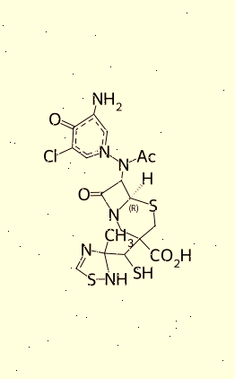 CC(=O)N(C1C(=O)N2CC(C(=O)O)(C(S)C3(C)N=CSN3)CS[C@H]12)n1cc(N)c(=O)c(Cl)c1